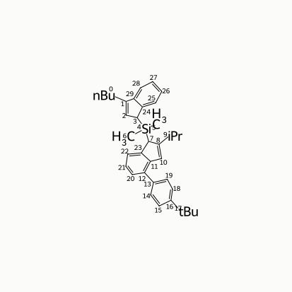 CCCCC1=CC([Si](C)(C)C2C(C(C)C)=Cc3c(-c4ccc(C(C)(C)C)cc4)cccc32)c2ccccc21